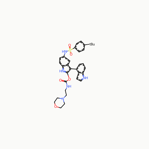 CC(C)(C)c1ccc(S(=O)(=O)Nc2ccc3[nH]c(OC(=O)NCCN4CCOCC4)c(-c4cccc5[nH]ccc45)c3c2)cc1